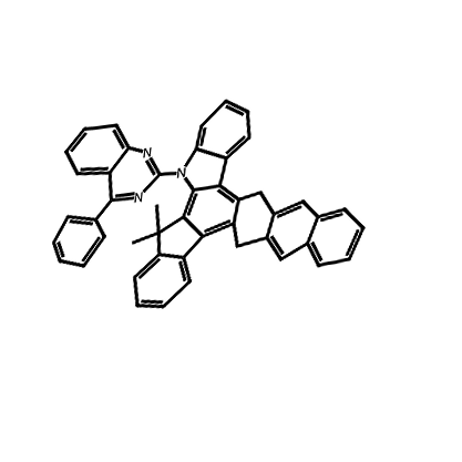 CC1(C)c2ccccc2-c2c3c(c4c5ccccc5n(-c5nc(-c6ccccc6)c6ccccc6n5)c4c21)Cc1cc2ccccc2cc1C3